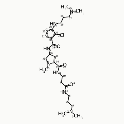 CN(C)CCCNC(=O)CCNC(=O)C1=CC(NC(=O)c2nsc(NCCCN(C)C)c2Cl)CN1C